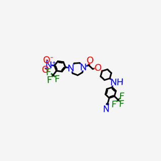 N#Cc1ccc(NC2CCC(OCC(=O)N3CCCN(c4ccc([N+](=O)[O-])c(C(F)(F)F)c4)CC3)CC2)cc1C(F)(F)F